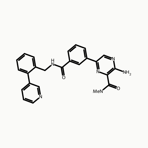 CNC(=O)c1nc(-c2cccc(C(=O)NCc3ccccc3-c3cccnc3)c2)cnc1N